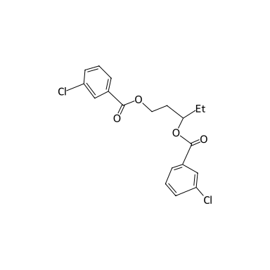 CCC(CCOC(=O)c1cccc(Cl)c1)OC(=O)c1cccc(Cl)c1